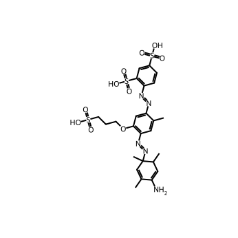 CC1=CC(C)(N=Nc2cc(C)c(N=Nc3ccc(S(=O)(=O)O)cc3S(=O)(=O)O)cc2OCCCS(=O)(=O)O)C(C)C=C1N